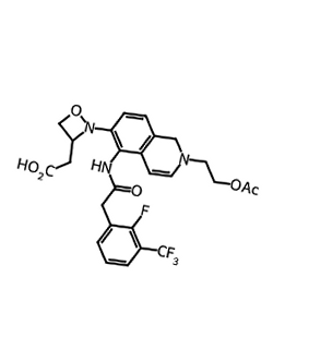 CC(=O)OCCN1C=Cc2c(ccc(N3OCC3CC(=O)O)c2NC(=O)Cc2cccc(C(F)(F)F)c2F)C1